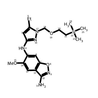 CCc1cc(Nc2cc3onc(N)c3cc2OC)nn1COCC[Si](C)(C)C